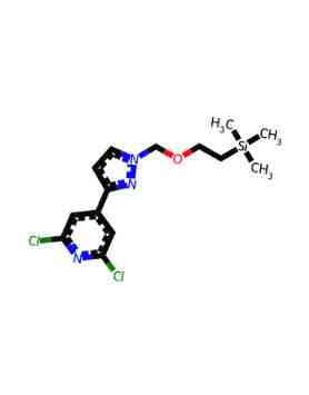 C[Si](C)(C)CCOCn1ccc(-c2cc(Cl)nc(Cl)c2)n1